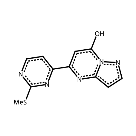 CSc1nccc(-c2cc(O)n3nccc3n2)n1